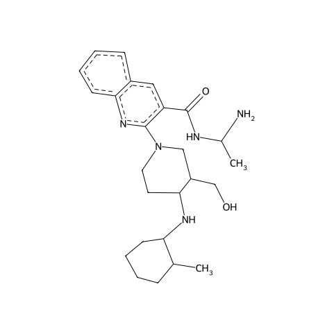 CC(N)NC(=O)c1cc2ccccc2nc1N1CCC(NC2CCCCC2C)C(CO)C1